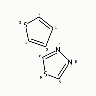 c1ccsc1.c1nncs1